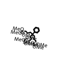 CO[Si](CCCC(CCC[Si](OC)(OC)OC)(CCC[Si](OC)(OC)OC)c1ccccc1)(OC)OC